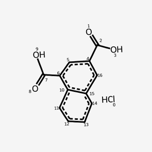 Cl.O=C(O)c1cc(C(=O)O)c2ccccc2c1